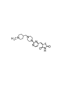 CN1CCC(CN2CCN(c3nccc(C=C4SC(=O)NC4=O)n3)CC2)CC1